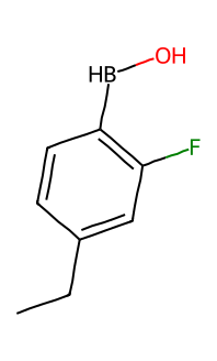 CCc1ccc(BO)c(F)c1